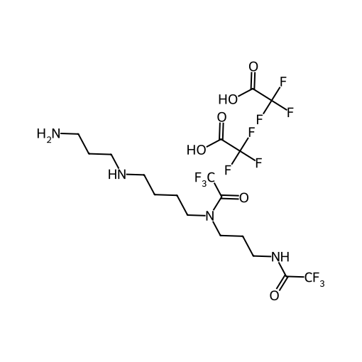 NCCCNCCCCN(CCCNC(=O)C(F)(F)F)C(=O)C(F)(F)F.O=C(O)C(F)(F)F.O=C(O)C(F)(F)F